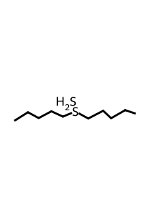 CCCCCSCCCCC.S